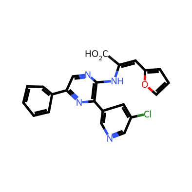 O=C(O)/C(=C/c1ccco1)Nc1ncc(-c2ccccc2)nc1-c1cncc(Cl)c1